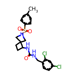 Cc1ccc(S(=O)(=O)N2CC3(CCC3NC(=O)NCc3ccc(Cl)cc3Cl)C2)cc1